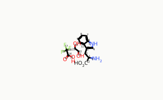 NC(Cc1c[nH]c2ccccc12)C(=O)O.O=C(O)C(F)(F)F.OCCO